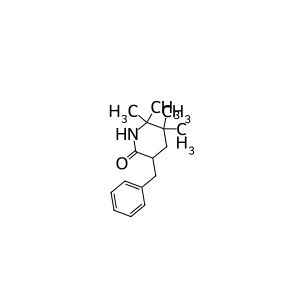 CC1(C)CC(Cc2ccccc2)C(=O)NC1(C)C